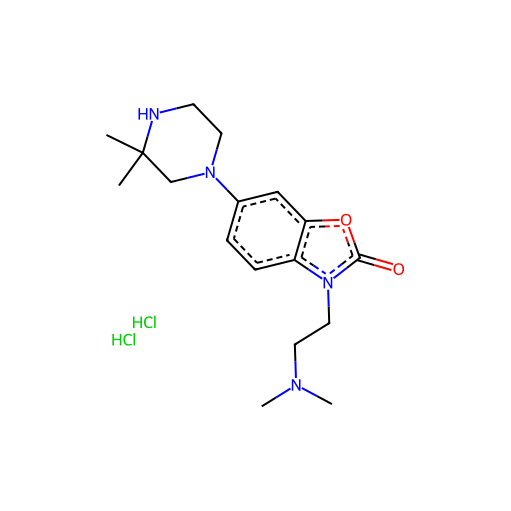 CN(C)CCn1c(=O)oc2cc(N3CCNC(C)(C)C3)ccc21.Cl.Cl